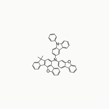 CC1(C)c2ccccc2-c2c1cc(N(c1ccc3c(c1)oc1ccccc13)c1ccc3c(c1)c1ccccc1n3-c1ccccc1)c1c2oc2ccccc21